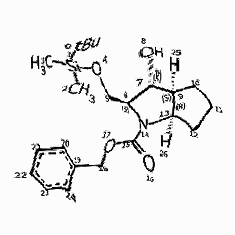 CC(C)(C)[Si](C)(C)OC[C@H]1[C@H](O)[C@H]2CCC[C@H]2N1C(=O)OCc1ccccc1